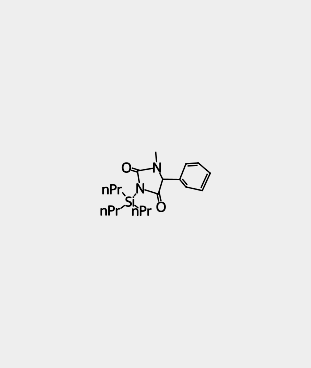 CCC[Si](CCC)(CCC)N1C(=O)C(c2ccccc2)N(C)C1=O